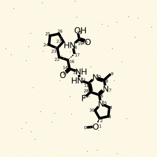 CO[C@H]1CCN(c2nc(C)nc(NNC(=O)[C@@H](CNC(=O)O)CC3CCCC3)c2F)C1